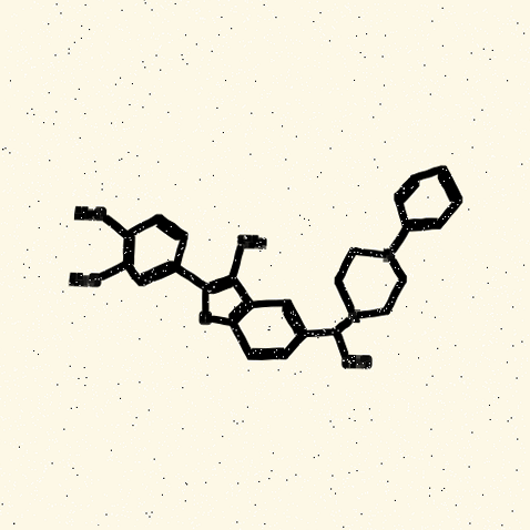 COc1ccc(-c2oc3ccc(C(C=O)N4CCN(c5ccccc5)CC4)cc3c2SC)cc1OC